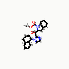 CC(C)(C)OC(=O)N1c2ccccc2CC1C(=O)c1nccn1-c1cccc2ccccc12